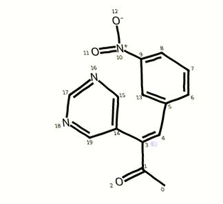 CC(=O)/C(=C/c1cccc([N+](=O)[O-])c1)c1cncnc1